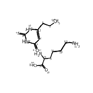 CCCc1cc(=O)[nH]c(=S)[nH]1.NCCCCC(N)C(=O)O